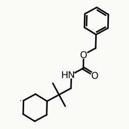 CC(C)(CNC(=O)OCc1ccccc1)C1C[CH]CCC1